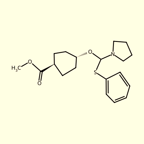 COC(=O)[C@H]1CC[C@H](OC(Sc2ccccc2)N2CCCC2)CC1